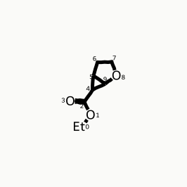 CCOC(=O)C1C2CCOC21